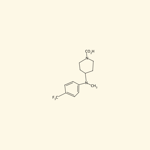 CN(c1ccc(C(F)(F)F)cc1)C1CCN(C(=O)O)CC1